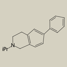 CC(C)N1CCc2cc(-c3ccccc3)ccc2C1